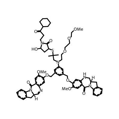 COCCOCCOCCN(CC(C)(C)SC1CC(O)N(CCC(=O)C2CCCCC2)C1=O)c1cc(COc2cc3c(cc2OC)C(=O)N2c4ccccc4C[C@H]2C=N3)cc(COc2cc3c(cc2OC)C(=O)N2c4ccccc4C[C@H]2CN3)c1